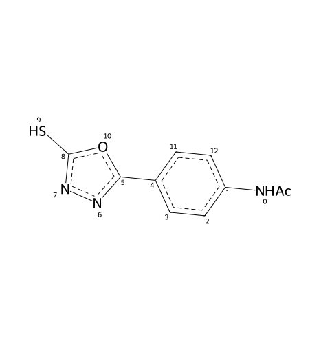 CC(=O)Nc1ccc(-c2nnc(S)o2)cc1